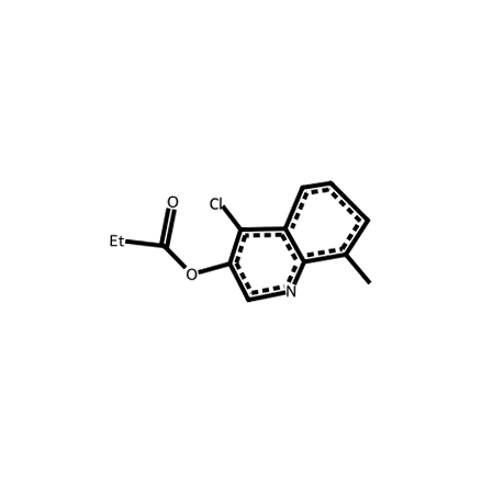 CCC(=O)Oc1cnc2c(C)cccc2c1Cl